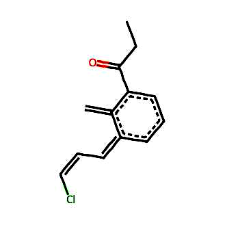 C=c1c(C(=O)CC)ccc/c1=C/C=C\Cl